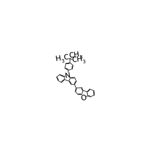 CC(C)(C)c1ccc(-n2c3ccccc3c3cc(-c4ccc5oc6ccccc6c5c4)ccc32)cc1